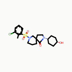 Cc1c(Cl)cccc1S(=O)(=O)N1CCCC2(CCN([C@H]3CC[C@@H](O)CC3)C2=O)C1